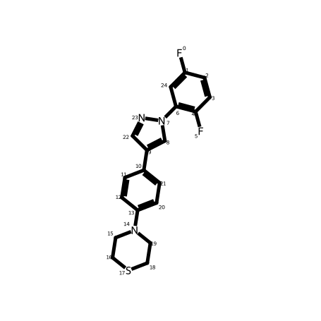 Fc1ccc(F)c(-n2cc(-c3ccc(N4CCSCC4)cc3)cn2)c1